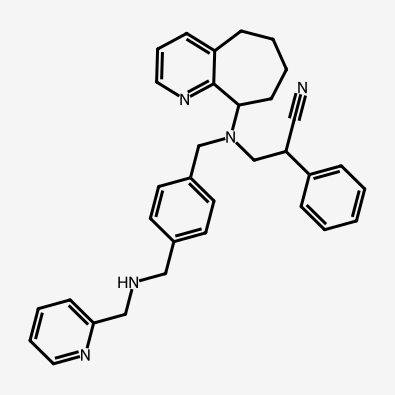 N#CC(CN(Cc1ccc(CNCc2ccccn2)cc1)C1CCCCc2cccnc21)c1ccccc1